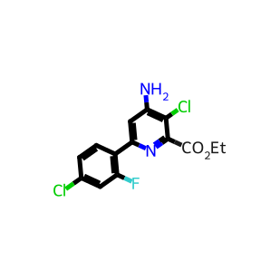 CCOC(=O)c1nc(-c2ccc(Cl)cc2F)cc(N)c1Cl